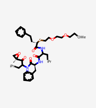 COCCOCCOCCS[C@@H](CCc1ccccc1)C(=O)NC(CC(C)C)C(=O)N[C@@H](Cc1ccccc1)C(=O)NC(CC(C)C)C(=O)[C@@]1(C)CO1